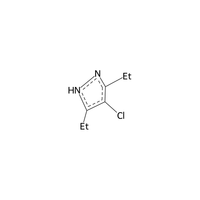 CCc1n[nH]c(CC)c1Cl